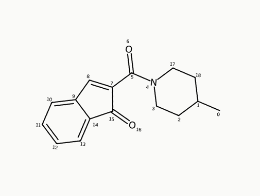 CC1CCN(C(=O)C2=Cc3ccccc3C2=O)CC1